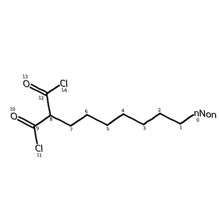 CCCCCCCCCCCCCCCCC(C(=O)Cl)C(=O)Cl